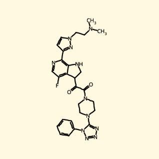 CN(C)CCn1ccc(-c2ncc(F)c3c2NCC3C(=O)C(=O)N2CCN(c3nnnn3-c3ccccc3)CC2)n1